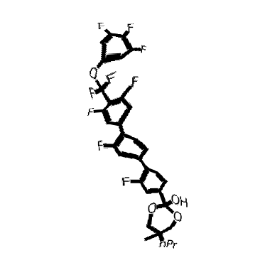 CCCC1(C)COC(O)(c2ccc(-c3ccc(-c4cc(F)c(C(F)(F)Oc5cc(F)c(F)c(F)c5)c(F)c4)c(F)c3)c(F)c2)OC1